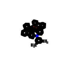 Cc1cc(C)cc(N(c2ccc3c(c2)C2(c4ccccc4-c4ccccc42)c2ccccc2-3)c2cccc3c2-c2ccccc2C32c3ccccc3-c3ccccc32)c1